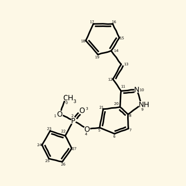 COP(=O)(Oc1ccc2[nH]nc(C=Cc3ccccc3)c2c1)c1ccccc1